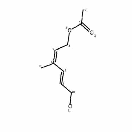 CC(=O)OCC=C(C)C=CCCl